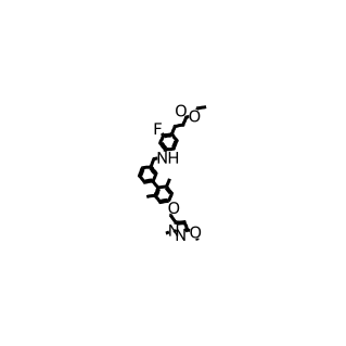 CCOC(=O)CCc1ccc(NCc2cccc(-c3c(C)cc(OCc4cc(OC)nn4C)cc3C)c2)cc1F